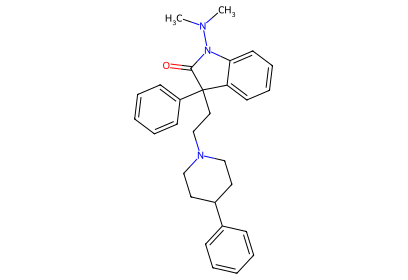 CN(C)N1C(=O)C(CCN2CCC(c3ccccc3)CC2)(c2ccccc2)c2ccccc21